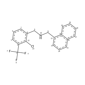 FC(F)(F)c1cccc(CNCc2cccc3ccccc23)c1Cl